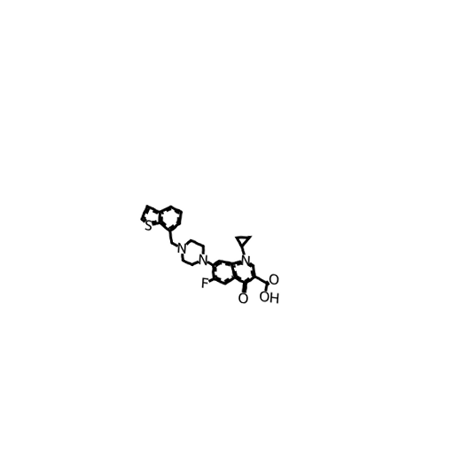 O=C(O)c1cn(C2CC2)c2cc(N3CCN(Cc4cccc5ccsc45)CC3)c(F)cc2c1=O